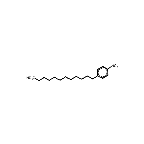 O=C(O)CCCCCCCCCCCc1ccc([N+](=O)[O-])cc1